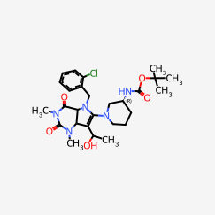 CC(O)C1=C(N2CCC[C@@H](NC(=O)OC(C)(C)C)C2)N(Cc2ccccc2Cl)C2C(=O)N(C)C(=O)N(C)C12